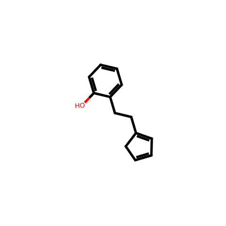 Oc1ccccc1CCC1=CC=CC1